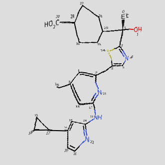 CC[C@@](O)(c1ncc(-c2cc(C)cc(Nc3cc(C4CC4)ccn3)n2)s1)C1CCC(C(=O)O)CC1